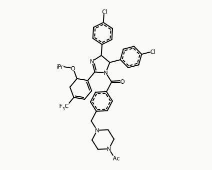 CC(=O)N1CCN(Cc2ccc(C(=O)N3C(C4=CC=C(C(F)(F)F)CC4OC(C)C)=NC(c4ccc(Cl)cc4)C3c3ccc(Cl)cc3)cc2)CC1